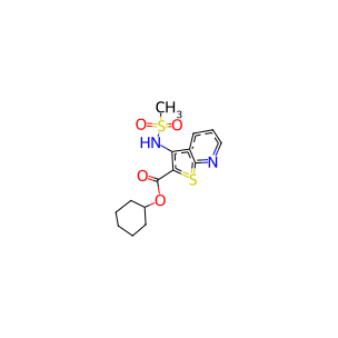 CS(=O)(=O)Nc1c(C(=O)OC2CCCCC2)sc2ncccc12